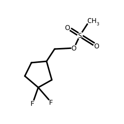 CS(=O)(=O)OCC1CCC(F)(F)C1